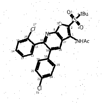 CC(=O)Nc1c(S(=O)(=O)C(C)(C)C)oc2nc(-c3ccccc3Cl)c(-c3ccc(Cl)cc3)cc12